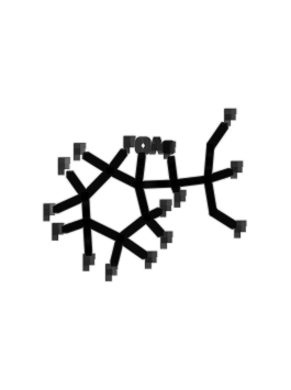 CC(=O)OC1(C(F)(F)C(F)(CF)CF)C(F)(F)C(F)(F)C(F)(F)C(F)(F)C1(F)F